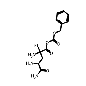 CCC(N)(C[C@H](N)C(N)=O)C(=O)OC(=O)OCc1ccccc1